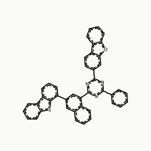 c1ccc(-c2nc(-c3ccc4c(c3)oc3ccccc34)nc(-c3cc(-c4cccc5c4sc4ccccc45)cc4ccccc34)n2)cc1